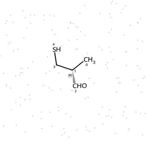 C[C@H](C=O)CS